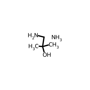 CC(C)(O)CN.N